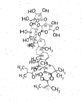 C/C=C(/C)C(=O)O[C@H]1[C@H](O)[C@@]2(COC(=O)C(C)CC)C(CC1(C)C)C1=CCC3[C@@]4(C)CC[C@H](O[C@@H]5OC(C(=O)O)[C@@H](O)[C@@H](O[C@@H]6O[C@@H](CO)C(O)[C@@H]6O)C5O[C@@H]5OC(CO)[C@H](O)[C@@H](O)C5O)C(C)(C)C4CC[C@@]3(C)[C@]1(C)[C@@H](O)[C@H]2O